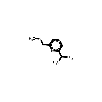 CSCc1cncc(C(C)C)n1